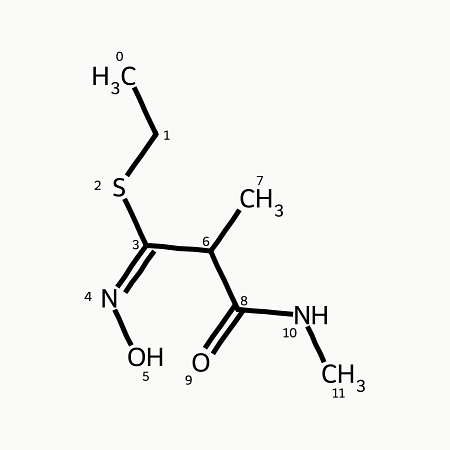 CCS/C(=N/O)C(C)C(=O)NC